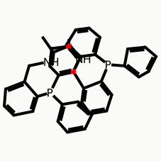 CC(NCc1ccccc1P(c1ccccc1)c1ccccc1)C(C)NCc1ccccc1P(c1ccccc1)c1ccccc1